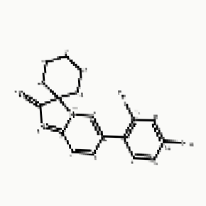 O=C1N=C2C=CC(c3ccc(F)cc3F)=CN2C12CCCCC2